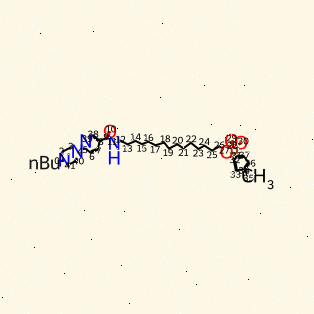 CCCCN1CCN(c2ccc(C(=O)NCCCCCCCCCCCCCCCOS(=O)(=O)c3ccc(C)cc3)cn2)CC1